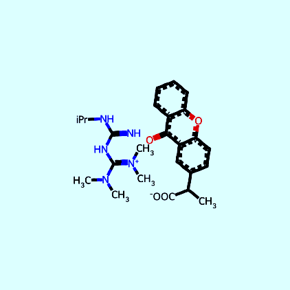 CC(C(=O)[O-])c1ccc2oc3ccccc3c(=O)c2c1.CC(C)NC(=N)NC(N(C)C)=[N+](C)C